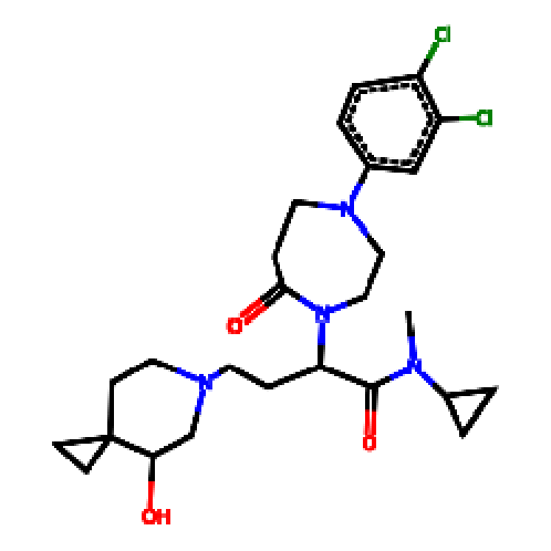 CN(C(=O)C(CCN1CCC2(CC2)C(O)C1)N1CCN(c2ccc(Cl)c(Cl)c2)CCC1=O)C1CC1